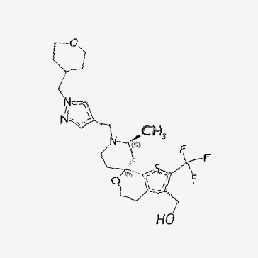 C[C@H]1C[C@@]2(CCN1Cc1cnn(CC3CCOCC3)c1)OCCc1c2sc(C(F)(F)F)c1CO